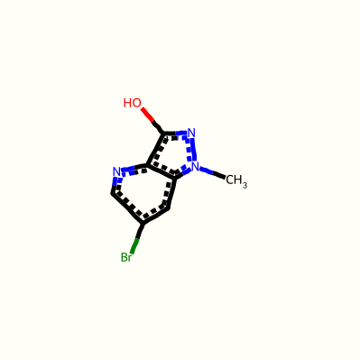 Cn1nc(O)c2ncc(Br)cc21